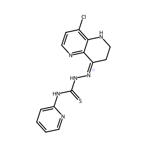 S=C(N/N=C1/CCNc2c(Cl)ccnc21)Nc1ccccn1